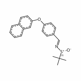 CC(C)(C)[S@@+]([O-])N=Cc1ccc(Oc2ccc3ccccc3c2)cc1